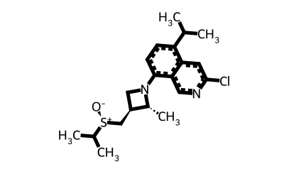 CC(C)c1ccc(N2C[C@H](C[S@@+]([O-])C(C)C)[C@H]2C)c2cnc(Cl)cc12